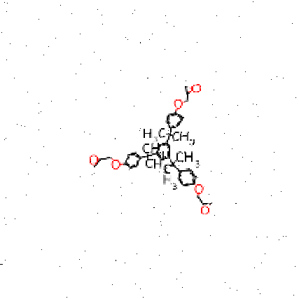 CC(C)(c1ccc(OCC2CO2)cc1)c1cc(C(C)(C)c2ccc(OCC3CO3)cc2)cc(C(C)(C)c2ccc(OCC3CO3)cc2)c1